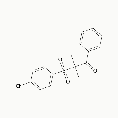 CC(C)(C(=O)c1ccccc1)S(=O)(=O)c1ccc(Cl)cc1